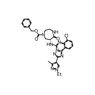 CCn1cc(-c2nc3c4cccc(Cl)c4nc(N[C@@H]4CN(C(=O)OCc5ccccc5)CCNC4=O)n3n2)c(C)n1